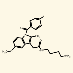 COc1ccc2c(c1)c(CC(=O)NCCCCN)c(C)n2C(=O)c1ccc(I)cc1